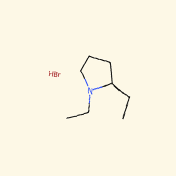 Br.CCC1CCCN1CC